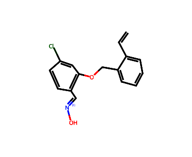 C=Cc1ccccc1COc1cc(Cl)ccc1/C=N/O